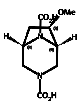 CO[C@@H]1C[C@@H]2CN(C(=O)O)C[C@H]1N2C(=O)O